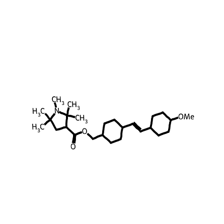 COC1CCC(/C=C/C2CCC(COC(=O)C3CC(C)(C)N(C)C3(C)C)CC2)CC1